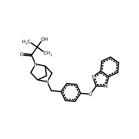 CC(C)(O)C(=O)N1CC2CC1CN2Cc1ccc(Oc2nc3ccccc3s2)cc1